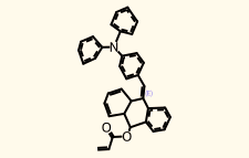 C=CC(=O)OC1c2ccccc2/C(=C/c2ccc(N(c3ccccc3)c3ccccc3)cc2)C2C=CC=CC21